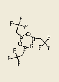 FC(F)(F)CB1OB(CC(F)(F)F)OB(CC(F)(F)F)O1